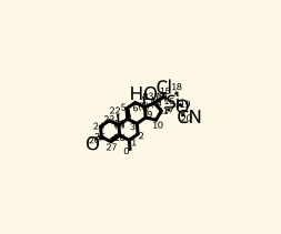 CC1CC2C(=CC[C@@]3(C)C2CC[C@]3(O)[C@H](Cl)[Si](C)(C)OC#N)[C@@]2(C)CCC(=O)C=C12